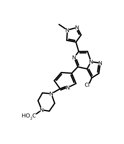 Cn1cc(-c2cn3ncc(Cl)c3c(-c3ccc(N4CCN(C(=O)O)CC4)nc3)n2)cn1